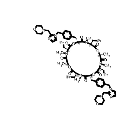 CC(C)C[C@H]1C(=O)O[C@H](Cc2ccc(Cn3ccnc3CN3CCOCC3)cc2)C(=O)N(C)[C@@H](CC(C)C)C(=O)O[C@H](C)C(=O)N(C)[C@@H](CC(C)C)C(=O)O[C@H](Cc2ccc(Cn3ccnc3CN3CCOCC3)cc2)C(=O)N(C)[C@@H](CC(C)C)C(=O)O[C@H](C)C(=O)N1C